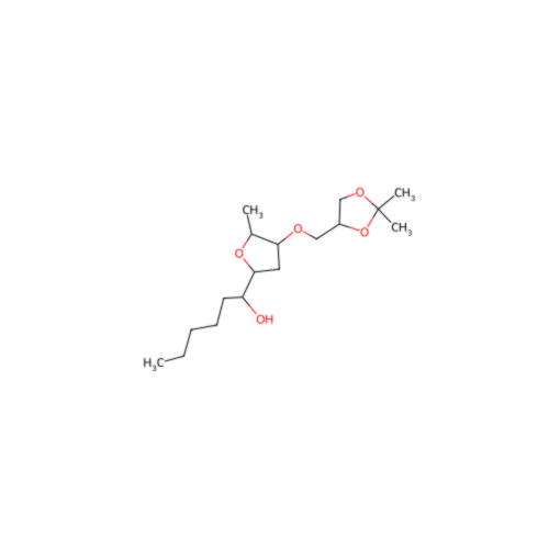 CCCCCC(O)C1CC(OCC2COC(C)(C)O2)C(C)O1